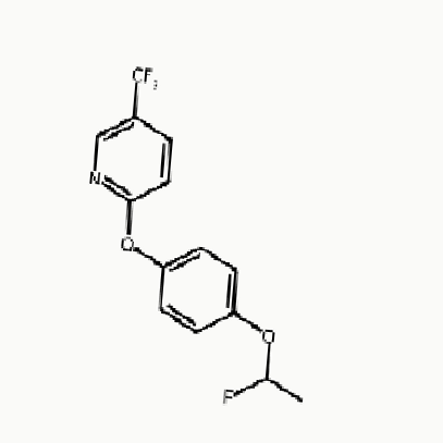 CC(F)Oc1ccc(Oc2ccc(C(F)(F)F)cn2)cc1